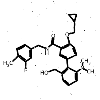 Cc1ccc(CNC(=O)c2cc(-c3c(CO)cccc3N(C)C)ccc2OCC2CC2)cc1F